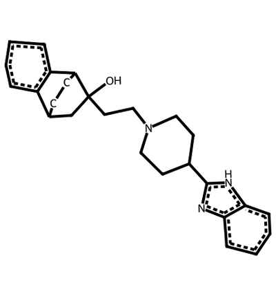 OC1(CCN2CCC(c3nc4ccccc4[nH]3)CC2)CC2CCC1c1ccccc12